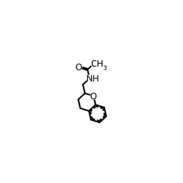 CC(=O)NCC1CCc2ccccc2O1